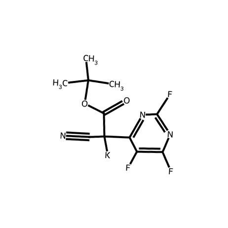 CC(C)(C)OC(=O)[C]([K])(C#N)c1nc(F)nc(F)c1F